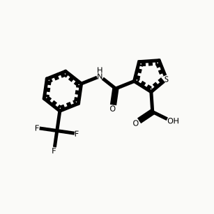 O=C(Nc1cccc(C(F)(F)F)c1)c1ccsc1C(=O)O